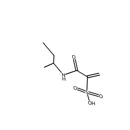 C=C(C(=O)NC(C)CC)S(=O)(=O)O